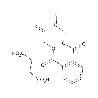 C=CCOC(=O)c1ccccc1C(=O)OCC=C.O=C(O)CCC(=O)O